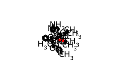 CC(C)C(=O)O[C@H]1[C@H](c2ccc3c(N)ncnn23)O[C@](C#N)(COP(=O)(NC(C)C(=O)OC2CCN(C)CC2)Oc2ccccc2)[C@H]1OC(=O)C(C)C